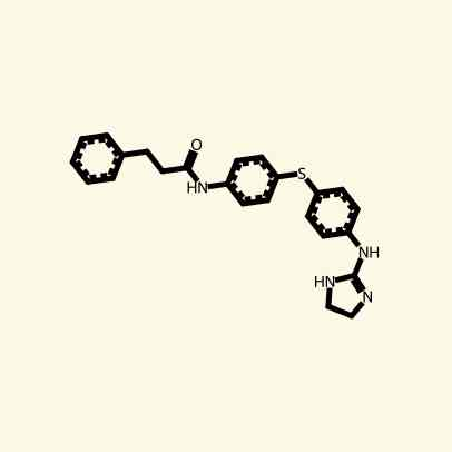 O=C(CCc1ccccc1)Nc1ccc(Sc2ccc(NC3=NCCN3)cc2)cc1